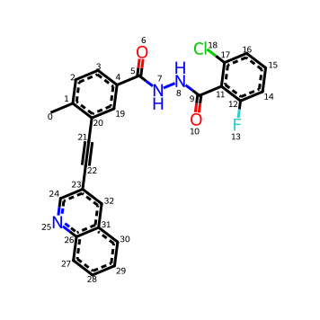 Cc1ccc(C(=O)NNC(=O)c2c(F)cccc2Cl)cc1C#Cc1cnc2ccccc2c1